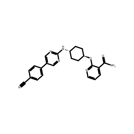 N#Cc1ccc(-c2cnc(N[C@H]3CC[C@H](Oc4ncccc4C(N)=O)CC3)nc2)cc1